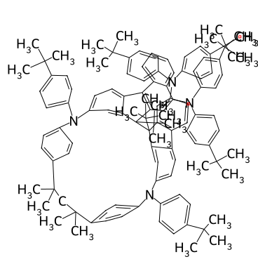 CC(C)(C)c1ccc(N(c2ccc(C(C)(C)C)cc2)c2ccc3c(c2)C2(C(C)(C)C)c4cc(ccc4-3)N(c3ccc(C(C)(C)C)cc3)c3ccc(cc3)C(C)(C)CC(C)(C)c3ccc(cc3)N(c3ccc(C(C)(C)C)cc3)c3ccc4c(c3)C2(C(C)(C)C)c2cc(N(c3ccc(C(C)(C)C)cc3)c3ccc(C(C)(C)C)cc3)c3ccccc3c2-4)cc1